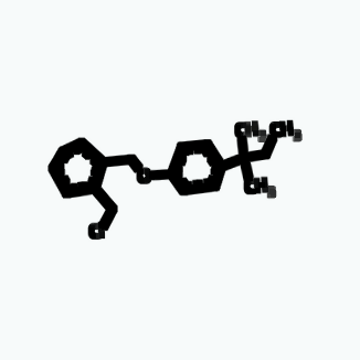 CCC(C)(C)c1ccc(OCc2ccccc2CCl)cc1